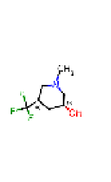 CN1C[C@@H](O)C[C@@H](C(F)(F)F)C1